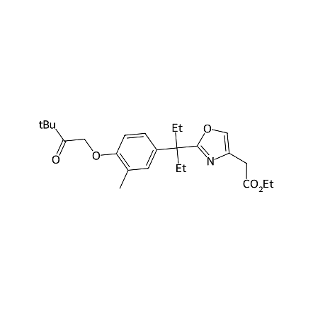 CCOC(=O)Cc1coc(C(CC)(CC)c2ccc(OCC(=O)C(C)(C)C)c(C)c2)n1